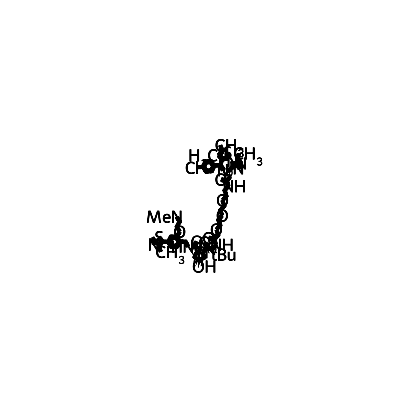 CNCCOc1cc(-c2scnc2C)ccc1CNC(=O)[C@@H]1C[C@@H](O)CN1C(=O)[C@@H](NC(=O)COCCOCCOCCNC(=O)C[C@@H]1N=C(c2ccc(Cl)cc2)c2c(sc(C)c2C)-n2c(C)nnc21)C(C)(C)C